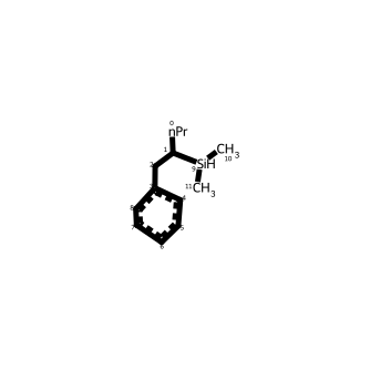 CCCC(Cc1ccccc1)[SiH](C)C